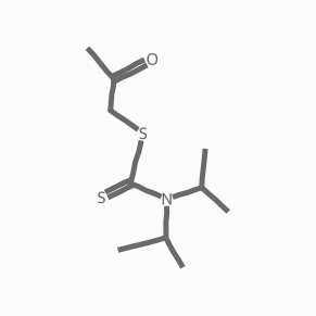 CC(=O)CSC(=S)N(C(C)C)C(C)C